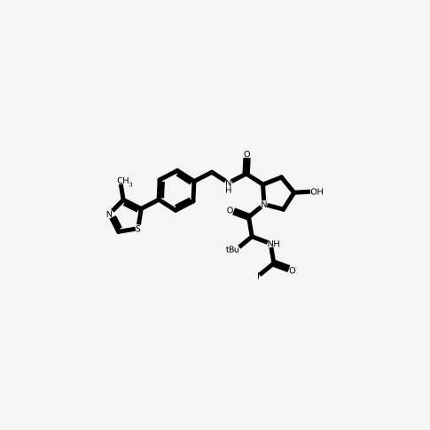 Cc1ncsc1-c1ccc(CNC(=O)C2CC(O)CN2C(=O)C(NC(=O)I)C(C)(C)C)cc1